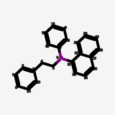 c1ccc(CCP(c2ccccc2)c2cccc3ccccc23)cc1